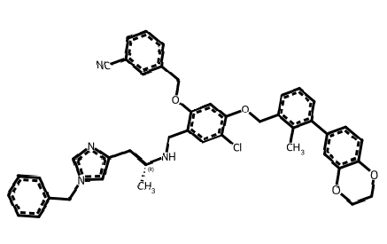 Cc1c(COc2cc(OCc3cccc(C#N)c3)c(CN[C@H](C)Cc3cn(Cc4ccccc4)cn3)cc2Cl)cccc1-c1ccc2c(c1)OCCO2